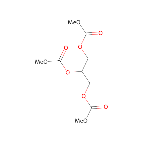 COC(=O)OCC(COC(=O)OC)OC(=O)OC